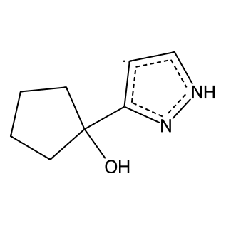 OC1(c2[c]c[nH]n2)CCCC1